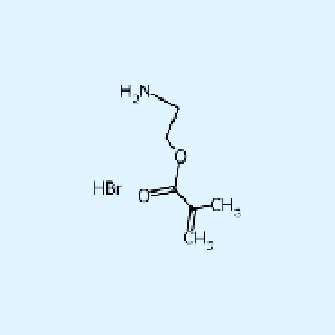 Br.C=C(C)C(=O)OCCN